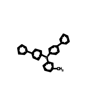 Cc1cccc(N(c2ccc(-c3ccccc3)cc2)c2ccc(-c3ccccc3)cc2)c1